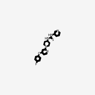 Fc1ccc(Oc2ccnc(N3CCC(NC(=S)Nc4cccnc4)CC3)c2)cc1